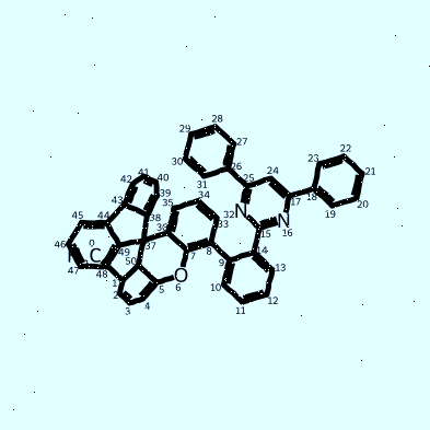 CC1C=CC=C2Oc3c(-c4ccccc4-c4nc(-c5ccccc5)cc(-c5ccccc5)n4)cccc3C3(c4ccccc4-c4ccccc43)C21